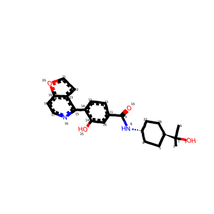 CC(C)(O)[C@H]1CC[C@H](NC(=O)c2ccc(-c3nccc4occc34)c(O)c2)CC1